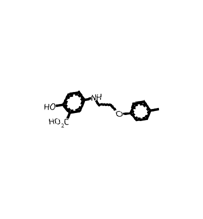 Cc1ccc(OCCNc2ccc(O)c(C(=O)O)c2)cc1